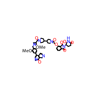 COc1cc(-c2cn(C)c(=O)c3cnccc23)cc(OC)c1CN1CC(C(=O)N2CCC(C3CCN(C(=O)COc4cccc5c4C(=O)N(C4CCC(=O)NC4=O)C5=O)CC3)CC2)C1